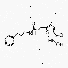 O=C(CCc1ccc(C(=O)NO)s1)NCCCc1ccccc1